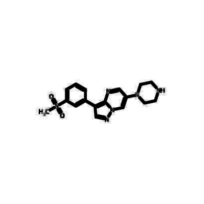 CS(=O)(=O)c1cccc(-c2cnn3cc(N4CCNCC4)cnc23)c1